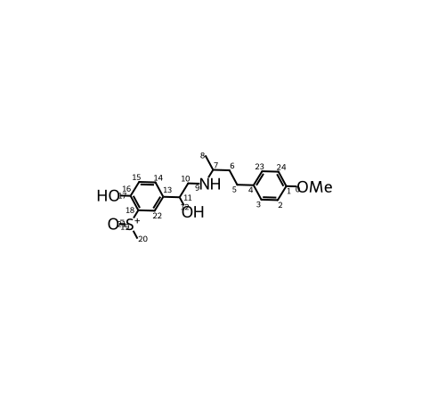 COc1ccc(CCC(C)NCC(O)c2ccc(O)c([S+](C)[O-])c2)cc1